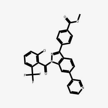 COC(=O)c1ccc(-c2nn(C(=O)c3c(Cl)cccc3C(F)(F)F)c3cc(-c4cccnc4)ccc23)cc1